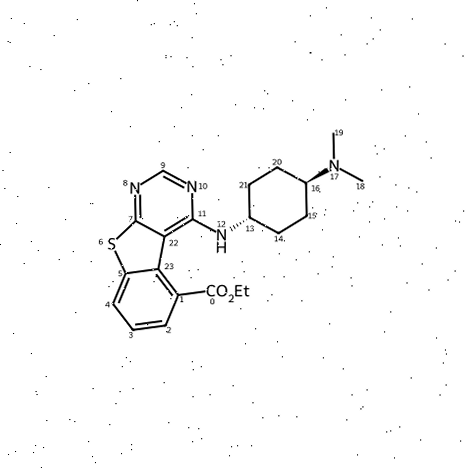 CCOC(=O)c1cccc2sc3ncnc(N[C@H]4CC[C@H](N(C)C)CC4)c3c12